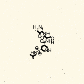 CC(=O)[C@H](CN)NC(=O)[C@@H](NC(=O)[C@@H]1CNC[C@H](S(=O)(=O)NCC(C)C)C1)[C@H](C)O